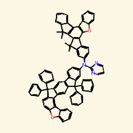 CC1(C)c2cc(N(c3ccc4c(c3)C(c3ccccc3)(c3ccccc3)c3cc5c(cc3-4)C(c3ccccc3)(c3ccccc3)c3ccc4oc6ccccc6c4c3-5)c3ncccn3)ccc2-c2c1c1c(c3c2oc2ccccc23)-c2ccccc2C1(C)C